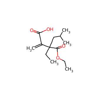 C=C(C(=O)O)C(CC)(CC(C)C)C(=O)OCC